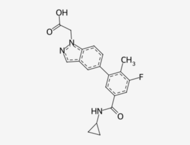 Cc1c(F)cc(C(=O)NC2CC2)cc1-c1ccc2c(cnn2CC(=O)O)c1